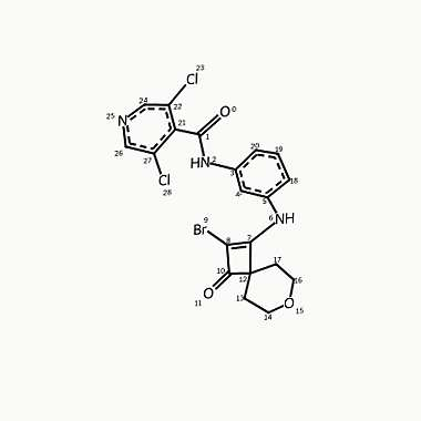 O=C(Nc1[c]c(NC2=C(Br)C(=O)C23CCOCC3)ccc1)c1c(Cl)cncc1Cl